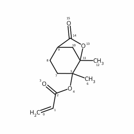 C=CC(=O)OC1(C)CCC2CC1(C)OC2=O